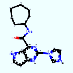 O=C(NC1CCCCCC1)c1nc(-n2ccnc2)nc2cc[nH]c12